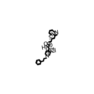 Cl.Cl.O=S(=O)(C=CC1=Cc2cnc3cccc(n23)S1)NCC1CCN(CCCc2ccccc2)CC1